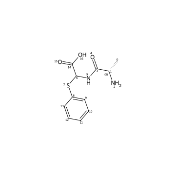 C[C@H](N)C(=O)NC(Sc1ccccc1)C(=O)O